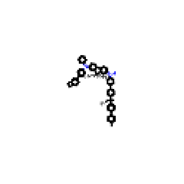 CCCCCCC1(CCCCCC)c2cc(Nc3ccc(-c4ccc(C(C)(CC(C)C)c5ccc(-c6ccc(C)cc6)cc5)cc4)cc3)ccc2-c2ccc(N(c3ccccc3)c3ccc(-c4ccc5c(c4)CC5)cc3)cc21